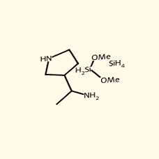 CC(N)C1CCNC1.CO[SiH2]OC.[SiH4]